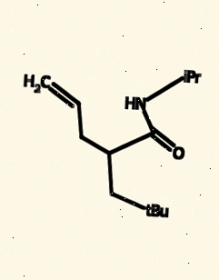 C=CCC(CC(C)(C)C)C(=O)NC(C)C